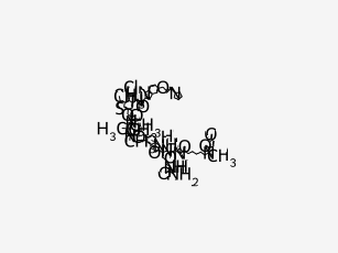 Cc1csc2c(OC(=O)N(C)CC(C)(C)CN(C)C(=O)OCc3ccc(NC(=O)C(CCCNC(N)=O)NC(=O)CNC(=O)CCCCCN(C)C(=O)/C=C\C=O)cc3)cc3c(c12)C(CCl)CN3C(=O)c1cc2cc(OCCN3CCCC3)ccc2[nH]1